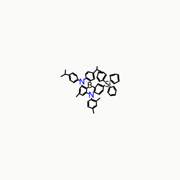 Cc1ccc(N2c3ccc([Si](c4ccccc4)(c4ccccc4)c4ccccc4)cc3B3c4cc(C(C)C)ccc4N(c4ccc(C(C)C)cc4)c4cc(C)cc2c43)c(C)c1